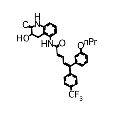 CCCOc1cccc(/C(=C\C=C\C(=O)Nc2cccc3c2CC(O)C(=O)N3)c2ccc(C(F)(F)F)cc2)c1